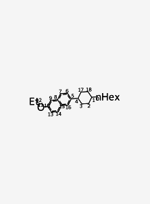 CCCCCCC1CCC(c2ccc3cc(OCC)ccc3c2)CC1